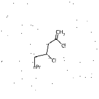 C=C(Cl)CC(Cl)CCCC